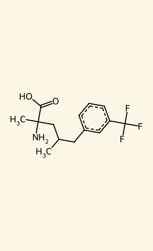 CC(Cc1cccc(C(F)(F)F)c1)CC(C)(N)C(=O)O